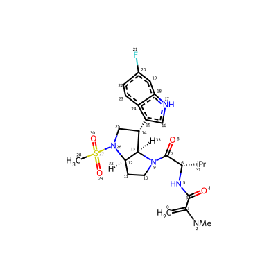 C=C(NC)C(=O)N[C@H](C(=O)N1CC[C@@H]2[C@H]1[C@@H](c1c[nH]c3cc(F)ccc13)CN2S(C)(=O)=O)C(C)C